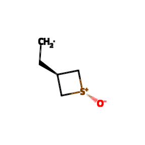 [CH2]C[C@H]1C[S@+]([O-])C1